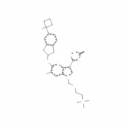 C[Si](C)(C)CCOCn1cc(-c2noc(=O)[nH]2)c2nc(NC3Cc4ccc(C5(O)CCC5)cc4C3)c(F)cc21